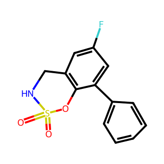 O=S1(=O)NCc2cc(F)cc(-c3ccccc3)c2O1